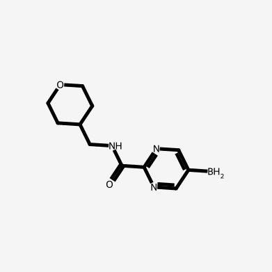 Bc1cnc(C(=O)NCC2CCOCC2)nc1